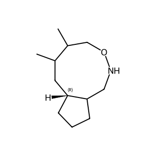 CC1CONCC2CCC[C@@H]2CC1C